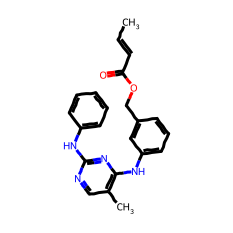 C/C=C/C(=O)OCc1cccc(Nc2nc(Nc3ccccc3)ncc2C)c1